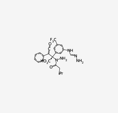 CC(C)CC(=O)N(N)[C@](C(=O)O)(C(=C=O)c1ccccc1)c1cc(NC=NN)cc(C(F)(F)F)c1